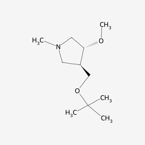 CO[C@H]1CN(C)C[C@@H]1COC(C)(C)C